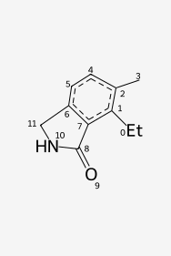 CCc1c(C)ccc2c1C(=O)NC2